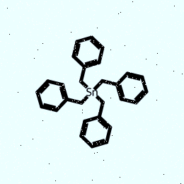 c1ccc([CH2][Sn]([CH2]c2ccccc2)([CH2]c2ccccc2)[CH2]c2ccccc2)cc1